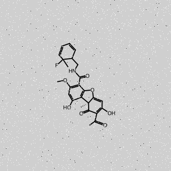 COc1cc(O)c2c(c1C(=O)NCC1C=CC=CC1(C)F)OC1=CC(O)=C(C(C)=O)C(=O)[C@]12C